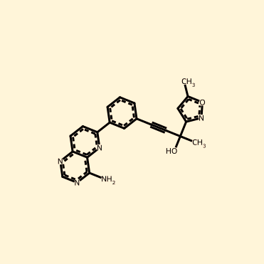 Cc1cc(C(C)(O)C#Cc2cccc(-c3ccc4ncnc(N)c4n3)c2)no1